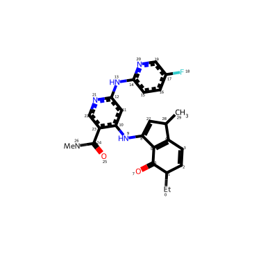 CCC1C=CC2=C(C1=O)C(Nc1cc(Nc3ccc(F)cn3)ncc1C(=O)NC)=CC2C